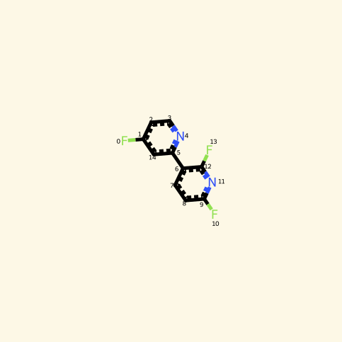 Fc1ccnc(-c2ccc(F)nc2F)c1